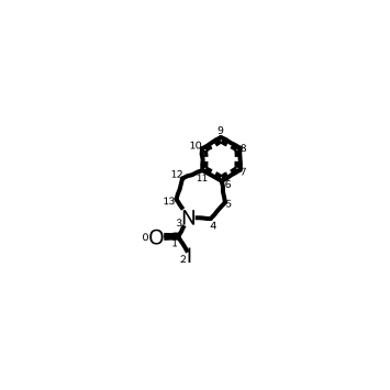 O=C(I)N1CCc2ccccc2CC1